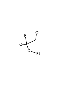 CCOC([O])(F)CCl